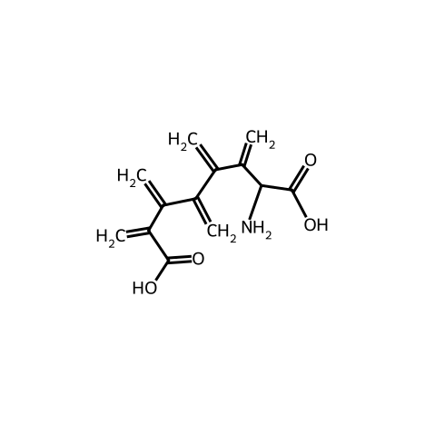 C=C(C(=C)C(=C)C(=O)O)C(=C)C(=C)C(N)C(=O)O